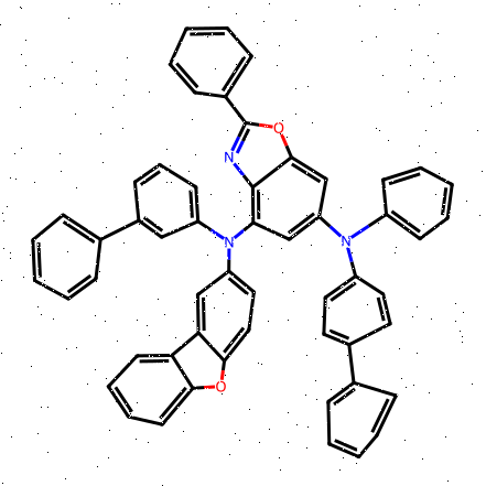 c1ccc(-c2ccc(N(c3ccccc3)c3cc(N(c4cccc(-c5ccccc5)c4)c4ccc5oc6ccccc6c5c4)c4nc(-c5ccccc5)oc4c3)cc2)cc1